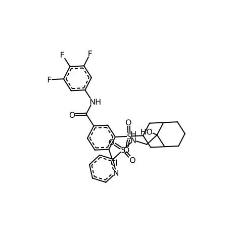 O=C(Nc1cc(F)c(F)c(F)c1)c1ccc(Cl)c(S(=O)(=O)C2CC3CCCC(C2)C3(O)CNS(=O)(=O)c2ccccn2)c1